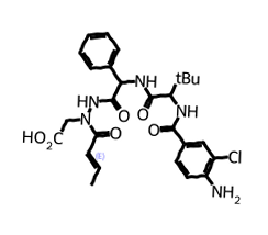 C/C=C/C(=O)N(CC(=O)O)NC(=O)C(NC(=O)C(NC(=O)c1ccc(N)c(Cl)c1)C(C)(C)C)c1ccccc1